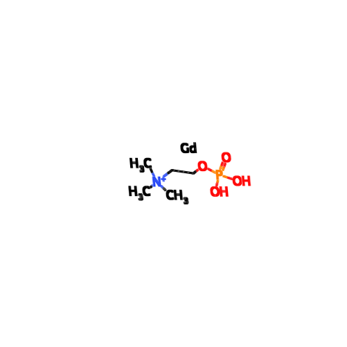 C[N+](C)(C)CCOP(=O)(O)O.[Gd]